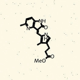 COC(=O)CCc1c[nH]c(C=C2C(=O)Nc3ccc(C)nc32)c1C